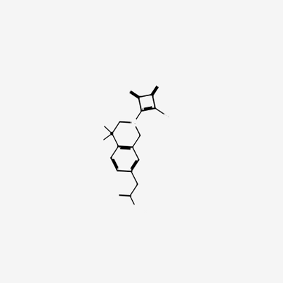 CC(C)Cc1ccc2c(c1)CN(c1c(N)c(=O)c1=O)CC2(F)F